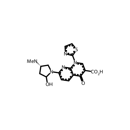 CN[C@H]1CC(O)N(c2ccc3c(=O)c(C(=O)O)cn(-c4nccs4)c3n2)C1